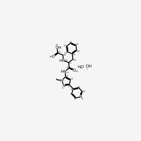 Cl.Cl.Cn1nc(-c2ccncc2)cc1NC(=O)C(Cc1ccccc1)NCC(=O)O